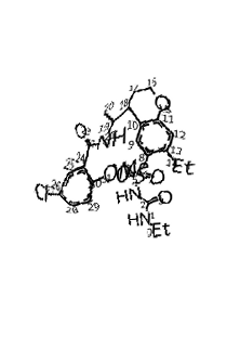 CCNC(=O)NS(=O)(=O)c1cc2c(cc1CC)OCCC2C(C)NC(=O)c1cc(Cl)ccc1OC